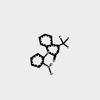 O=c1cc(C(F)(F)F)c2ccccc2n1-c1ccccc1[N+](=O)[O-]